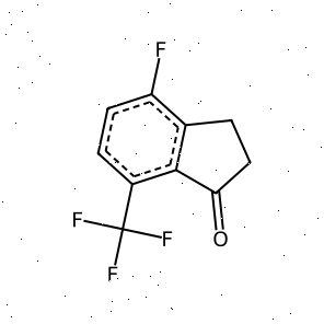 O=C1CCc2c(F)ccc(C(F)(F)F)c21